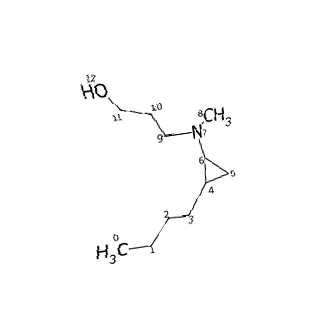 CCCCC1CC1N(C)CCCO